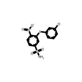 NS(=O)(=O)c1ccc([N+](=O)[O-])c(Sc2cccc(Cl)c2)c1